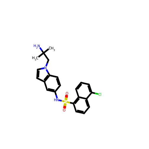 CC(C)(N)Cn1ccc2cc(NS(=O)(=O)c3cccc4c(Cl)cccc34)ccc21